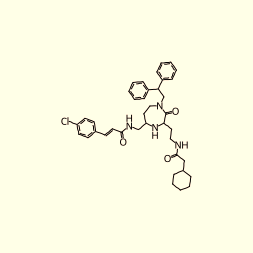 O=C(/C=C/c1ccc(Cl)cc1)NCC1CCN(CC(c2ccccc2)c2ccccc2)C(=O)C(CCNC(=O)CC2CCCCC2)N1